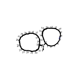 CN(C1CCCC/C=C\CCCCCCCCC1)C1CCCCCCCCCCCCCCCC1